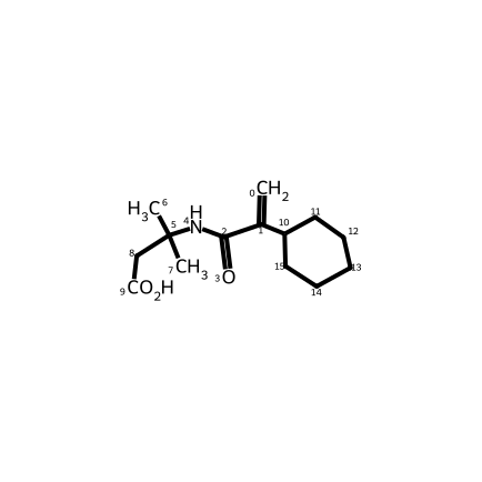 C=C(C(=O)NC(C)(C)CC(=O)O)C1CCCCC1